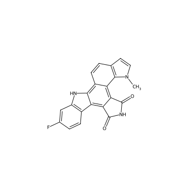 Cn1ccc2ccc3c4[nH]c5cc(F)ccc5c4c4c(c3c21)C(=O)NC4=O